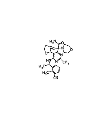 Cc1nc(N[C@H](C)c2cccc(C#N)c2C)c(C2OCCO2)c(C(Cl)(C(N)=O)N2CCOCC2)n1